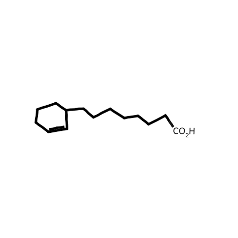 O=C(O)CCCCCCCC1C=CCCC1